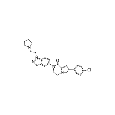 O=C1C2=CC(c3ccc(Cl)cc3)CN2CCN1c1ccc2c(cnn2CCN2CCCC2)c1